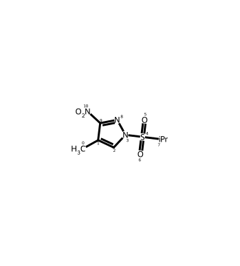 Cc1cn(S(=O)(=O)C(C)C)nc1[N+](=O)[O-]